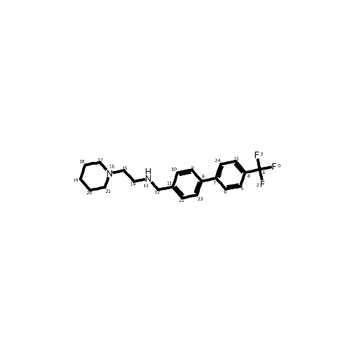 FC(F)(F)c1ccc(-c2ccc(CNCCN3CCCCC3)cc2)cc1